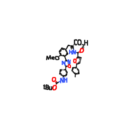 COc1ccc(C[C@@H](NC(=O)c2ccc(-c3ccc(C)cc3)o2)C(=O)O)cc1-c1noc(-c2ccc(NC(=O)OC(C)(C)C)cc2)n1